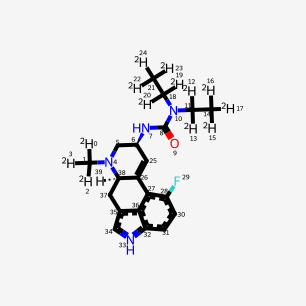 [2H]C([2H])([2H])N1C[C@@H](NC(=O)N(C([2H])([2H])C([2H])([2H])[2H])C([2H])([2H])C([2H])([2H])[2H])C=C2c3c(F)ccc4[nH]cc(c34)C[C@H]21